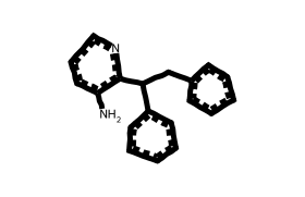 Nc1cccnc1C(Cc1ccccc1)c1ccccc1